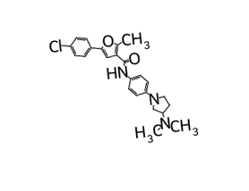 Cc1oc(-c2ccc(Cl)cc2)cc1C(=O)Nc1ccc(N2CCC(N(C)C)C2)cc1